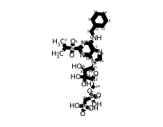 CC(C)S(=O)(=O)c1nc(NCc2ccccc2)c2ncn([C@@H]3O[C@H](COP(=O)(O)CP(=O)(O)O)C(O)(O)[C@H]3O)c2n1